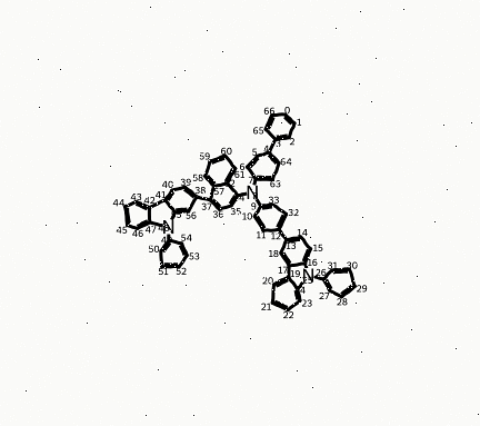 c1ccc(-c2ccc(N(c3ccc(-c4ccc5c(c4)c4ccccc4n5-c4ccccc4)cc3)c3ccc(-c4ccc5c6ccccc6n(-c6ccccc6)c5c4)c4ccccc34)cc2)cc1